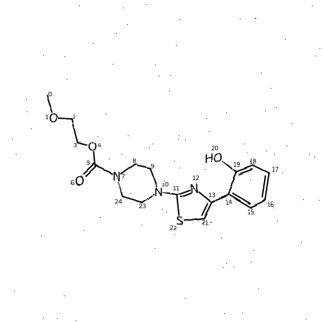 COCCOC(=O)N1CCN(c2nc(-c3ccccc3O)cs2)CC1